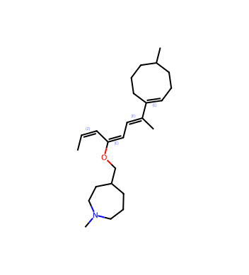 C\C=C/C(=C\C=C(C)\C1=C\CCC(C)CCC1)OCC1CCCN(C)CC1